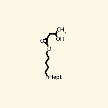 [CH2]C(O)CC1OC1OCCCCCCCCCCCC